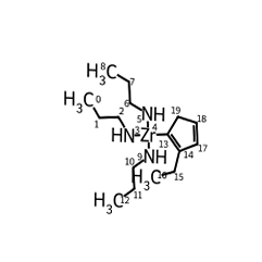 CCC[NH][Zr]([NH]CCC)([NH]CCC)[C]1=C(CC)C=CC1